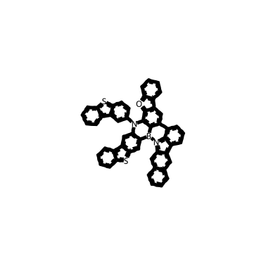 c1ccc2cc3c(cc2c1)c1cccc2c1n3B1c3cc4sc5ccccc5c4cc3N(c3ccc4sc5ccccc5c4c3)c3c1c-2cc1c3oc2ccccc21